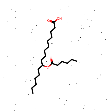 CCCCCCC(CCCCCCCCC(=O)O)OC(=O)CCCCC